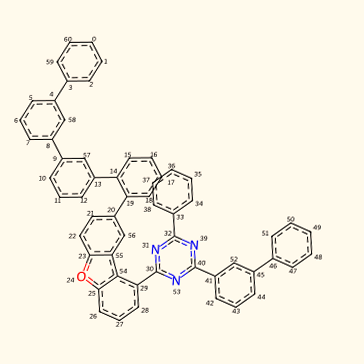 c1ccc(-c2cccc(-c3cccc(-c4ccccc4-c4ccc5oc6cccc(-c7nc(-c8ccccc8)nc(-c8cccc(-c9ccccc9)c8)n7)c6c5c4)c3)c2)cc1